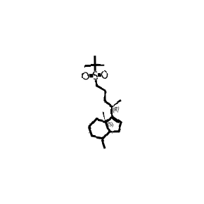 CC1CCC[C@]2(C)C([C@H](C)CCCS(=O)(=O)C(C)(C)C)=CCC12